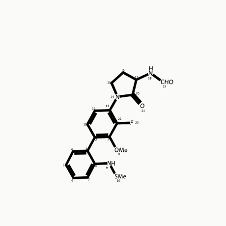 COc1c(-c2ccccc2NSC)ccc(N2CCC(NC=O)C2=O)c1F